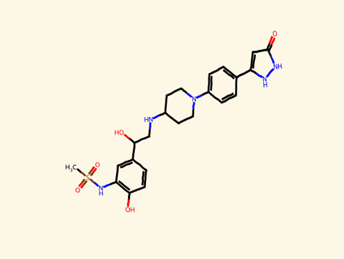 CS(=O)(=O)Nc1cc(C(O)CNC2CCN(c3ccc(-c4cc(=O)[nH][nH]4)cc3)CC2)ccc1O